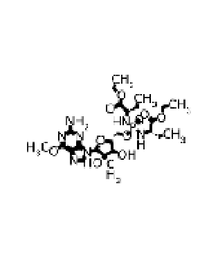 CCOC(=O)[C@H](CC)NP(=O)(N[C@H](CC)C(=O)OCC)OC[C@H]1OC(n2cnc3c(OC)nc(N)nc32)C(C)(O)C1O